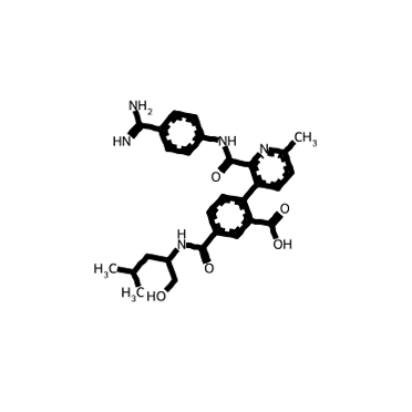 Cc1ccc(-c2ccc(C(=O)NC(CO)CC(C)C)cc2C(=O)O)c(C(=O)Nc2ccc(C(=N)N)cc2)n1